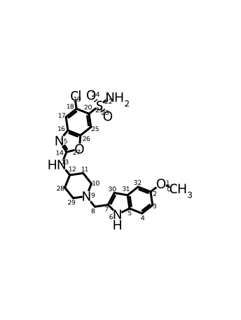 COc1ccc2[nH]c(CN3CCC(Nc4nc5cc(Cl)c(S(N)(=O)=O)cc5o4)CC3)cc2c1